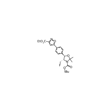 CCOC(=O)c1cc(-c2ccc([C@H]3OC(C)(C)N(C(=O)OC(C)(C)C)[C@@H]3CF)cc2)on1